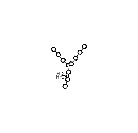 C[Si]1(C)c2cc(-c3ccccc3)ccc2-c2ccc(-n3cc(-c4ccc(-c5ccc(-c6ccccc6)cc5)cc4)c4cc(-c5ccc(-c6ccc(-c7ccccc7)cc6)cc5)ccc43)cc21